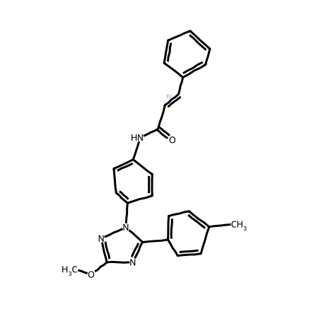 COc1nc(-c2ccc(C)cc2)n(-c2ccc(NC(=O)/C=C/c3ccccc3)cc2)n1